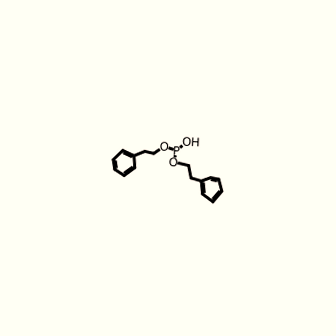 OP(OCCc1ccccc1)OCCc1ccccc1